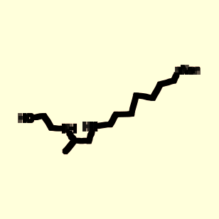 CCCCCCCCCCCCCCCCNCC(C)NCCO